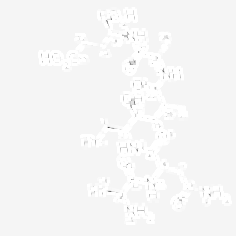 CC(C)C[C@H](NC(=O)[C@H](CC(N)=O)NC(=O)[C@@H](N)C(C)C)[C@@H](O)C[C@@H](C)C(=O)N[C@@H](C)C(=O)N[C@@H](CCC(=O)O)C(=O)O